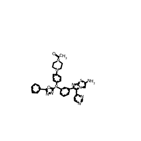 CC(=O)N1CCN(c2ccc(N(c3cccc(-c4nc5sc(N)cn5c4-c4ccncn4)c3)c3nnc(-c4ccccc4)o3)cc2)CC1